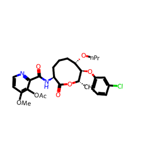 CCCO[C@H]1CCC[C@H](NC(=O)c2nccc(OC)c2OC(C)=O)C(=O)O[C@@H](C)[C@@H]1Oc1cccc(Cl)c1